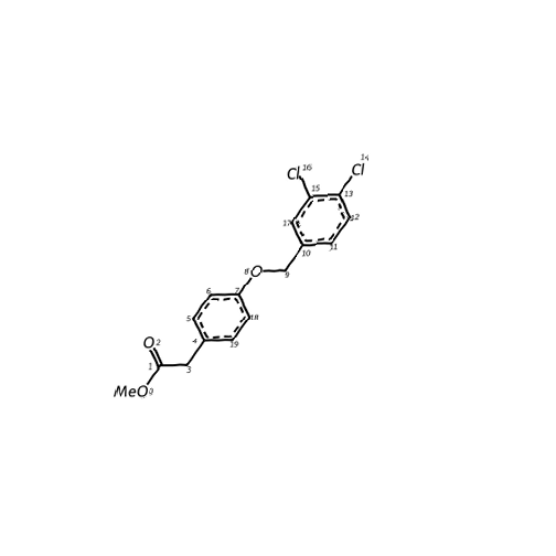 COC(=O)Cc1ccc(OCc2ccc(Cl)c(Cl)c2)cc1